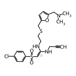 C#CCN/C(=C/S(=O)(=O)c1ccc(Cl)cc1)NCCSCc1ccc(CN(C)C)o1